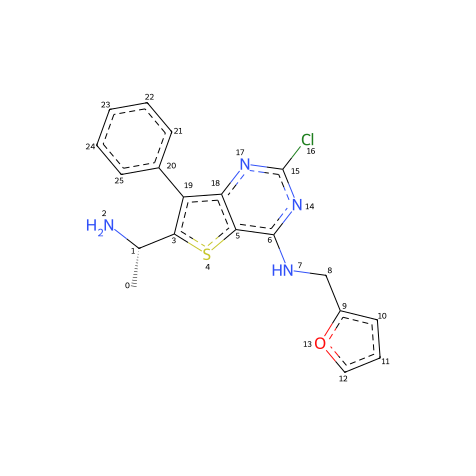 C[C@H](N)c1sc2c(NCc3ccco3)nc(Cl)nc2c1-c1ccccc1